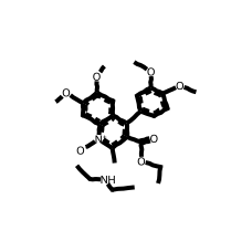 CCNCC.CCOC(=O)c1c(-c2ccc(OC)c(OC)c2)c2cc(OC)c(OC)cc2[n+]([O-])c1C